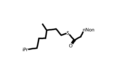 CCCCCCCCCCC(=O)SCCC(C)CCCC(C)C